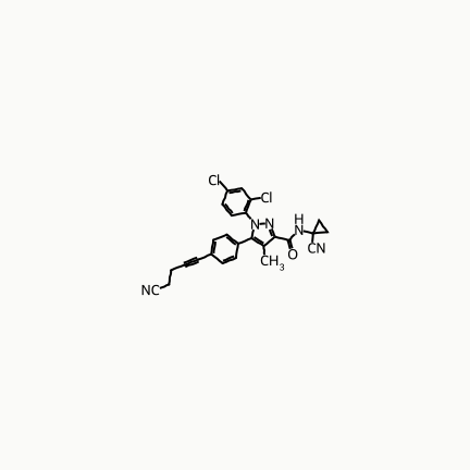 Cc1c(C(=O)NC2(C#N)CC2)nn(-c2ccc(Cl)cc2Cl)c1-c1ccc(C#CCCC#N)cc1